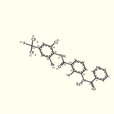 CCN(C(=O)c1cccnc1)c1cccc(C(=O)Nc2c(Cl)cc(C(F)(C(F)(F)F)C(F)(F)F)cc2Br)c1F